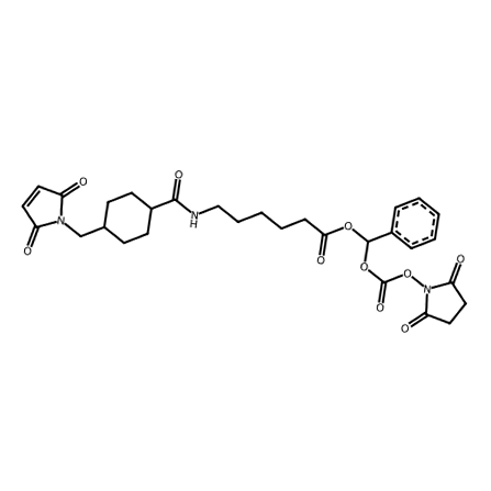 O=C(CCCCCNC(=O)C1CCC(CN2C(=O)C=CC2=O)CC1)OC(OC(=O)ON1C(=O)CCC1=O)c1ccccc1